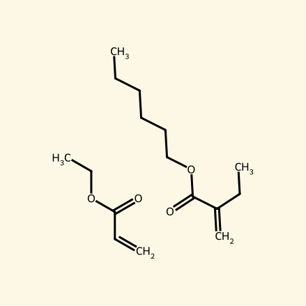 C=C(CC)C(=O)OCCCCCC.C=CC(=O)OCC